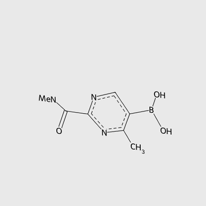 CNC(=O)c1ncc(B(O)O)c(C)n1